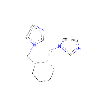 c1cn(C[C@H]2CCCC[C@H]2Cn2ccnc2)cn1